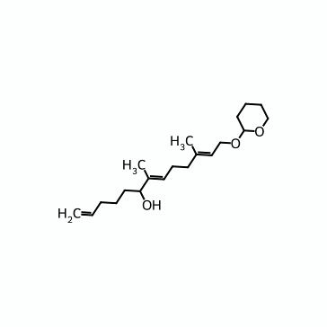 C=CCCCC(O)/C(C)=C/CC/C(C)=C/COC1CCCCO1